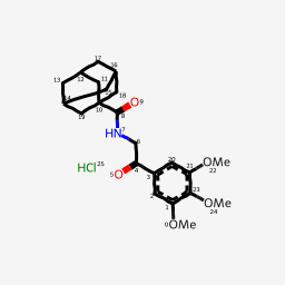 COc1cc(C(=O)CNC(=O)C23CC4CC(CC(C4)C2)C3)cc(OC)c1OC.Cl